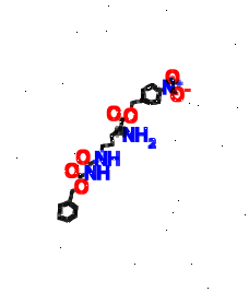 N[C@@H](CCCNC(=O)NC(=O)OCc1ccccc1)C(=O)OCc1ccc([N+](=O)[O-])cc1